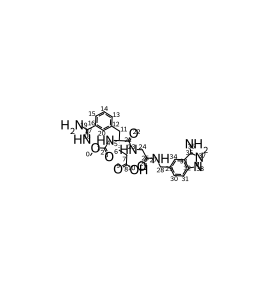 COC(=O)N[C@@](CCC(=O)O)(Cc1cccc(C(=N)N)c1)C(=O)NCC(=O)NCc1ccc2c(c1)C(N)N=N2